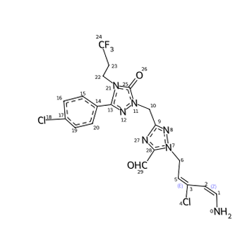 N/C=C\C(Cl)=C/Cn1nc(Cn2nc(-c3ccc(Cl)cc3)n(CCC(F)(F)F)c2=O)nc1C=O